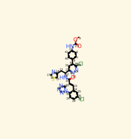 COC(=O)Nc1ccc(-c2cc(C(Cc3cscn3)NC(=O)C=Cc3cc(Cl)ccc3-n3cnnn3)nnc2Cl)cc1